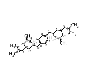 CN(C)CC(CCCc1ccc(CCCC(CN(C)C)CN(C)C)cc1)CN(C)C